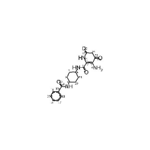 NC1=C(C(=O)NC2CCC(NC(=O)c3ccccc3)CC2)NC(=O)CC1=O